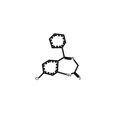 S=C1CN=C(c2ccccc2)c2ccc(Cl)cc2N1